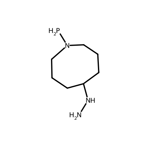 NNC1CCCN(P)CCC1